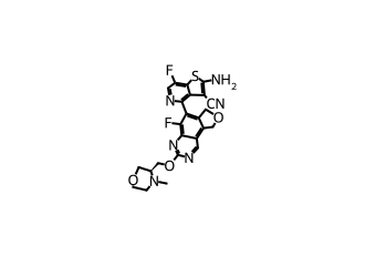 CN1CCOC[C@H]1COc1ncc2c3c(c(-c4ncc(F)c5sc(N)c(C#N)c45)c(F)c2n1)COC3